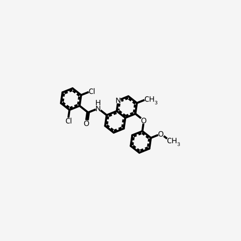 COc1ccccc1Oc1c(C)cnc2c(NC(=O)c3c(Cl)cccc3Cl)cccc12